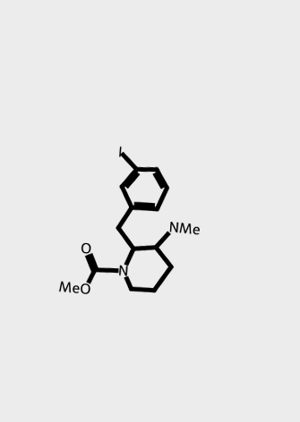 CNC1CCCN(C(=O)OC)C1Cc1cccc(I)c1